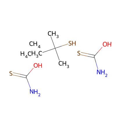 C.C.CC(C)(C)S.NC(O)=S.NC(O)=S